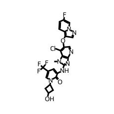 Cn1c(Nc2cc(C(F)(F)F)cn(C3CC(O)C3)c2=O)nc2ncc(Oc3cnn4cc(F)ccc34)c(Cl)c21